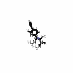 C#Cc1ccc(/C(N)=C(\CC)N(C)N)nc1C